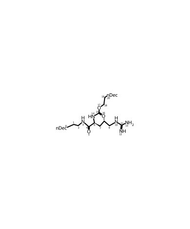 CCCCCCCCCCCCNC(=O)[C@H](CCCNC(=N)N)NC(=O)OCCCCCCCCCCCC